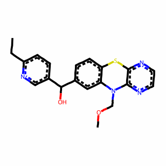 CCc1ccc(C(O)c2ccc3c(c2)N(COC)c2nccnc2S3)cn1